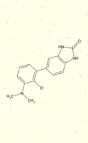 CN(C)c1cccc(-c2ccc3[nH]c(=O)[nH]c3c2)c1Cl